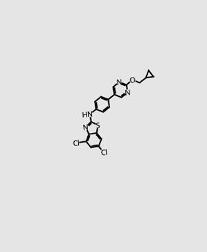 Clc1cc(Cl)c2nc(Nc3ccc(-c4cnc(OCC5CC5)nc4)cc3)sc2c1